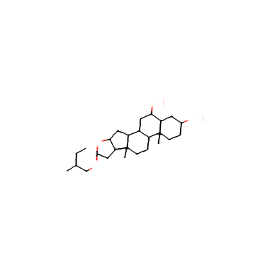 CC1CC[C@]2(OC1)OC1CC3C4CC(O)C5CC(O)CCC5(C)C4CCC3(C)C1[C@@H]2C